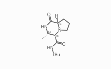 C[C@@H]1NC(=O)[C@@H]2CCCN2[C@H]1C(=O)NC(C)(C)C